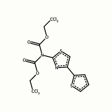 O=C(OCC(Cl)(Cl)Cl)N(C(=O)OCC(Cl)(Cl)Cl)c1nc(-c2cccs2)cs1